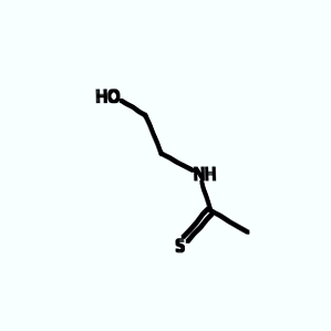 CC(=S)NCCO